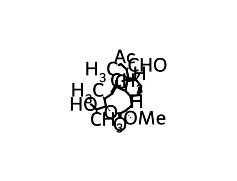 CO[C@H]1C[C@H]2C=C[C@@H]3C[C@]2(O[C@H]3[C@@H](C=O)C(C)C(C)=O)/C(C)=C/[C@@H](C)[C@@H]([C@@H](C)O)OC1=O